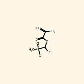 C=C(C)C(=O)OC(CC)[Si](C)(Cl)Cl